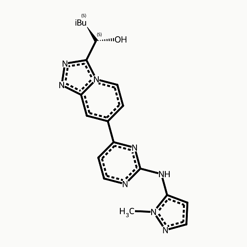 CC[C@H](C)[C@H](O)c1nnc2cc(-c3ccnc(Nc4ccnn4C)n3)ccn12